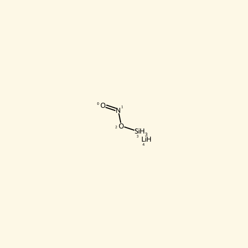 O=NO[SiH3].[LiH]